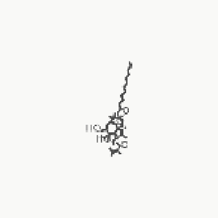 CCCCCCCCCCCC(=O)C[C@]1(C)C[C@@H](C)C23C=C(C)C(OC(=O)C(C)=C(C)C)C2(O)C(O)C(CO)=CC(C3=O)C1(C)C